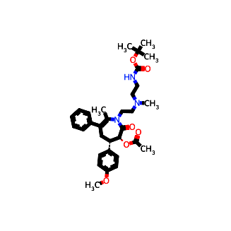 COc1ccc([C@@H]2CC(c3ccccc3)=C(C)N(CCN(C)CCNC(=O)OC(C)(C)C)C(=O)[C@@H]2OC(C)=O)cc1